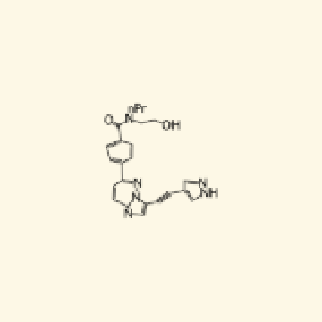 CCCN(CCO)C(=O)c1ccc(-c2ccc3ncc(C#Cc4cn[nH]c4)n3n2)cc1